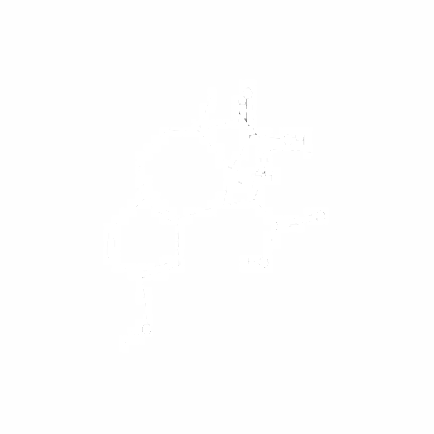 COc1ccc2c(c1)C1C(C(=O)O)=C(C)NC(C)(CC2)[C@H]1C(=O)O